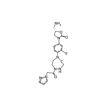 NC[C@H]1CN(c2ccc(N3CCNN(C(=O)Cn4ccnn4)CC3)c(F)c2)C(=O)O1